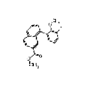 COC(=O)c1ccc2cccc(-c3cccc(F)c3OC)c2c1